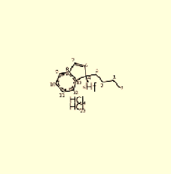 CCCC[C]1([Hf])C=Cc2ccccc21.Cl.Cl